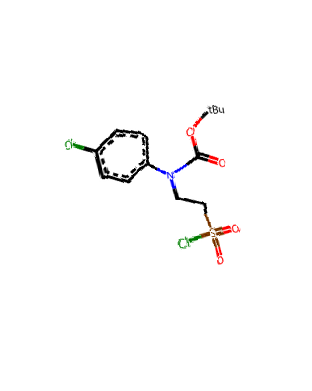 CC(C)(C)OC(=O)N(CCS(=O)(=O)Cl)c1ccc(Cl)cc1